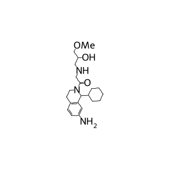 COCC(O)CNCC(=O)N1CCc2ccc(N)cc2C1C1CCCCC1